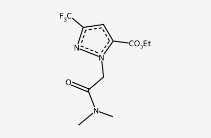 CCOC(=O)c1cc(C(F)(F)F)nn1CC(=O)N(C)C